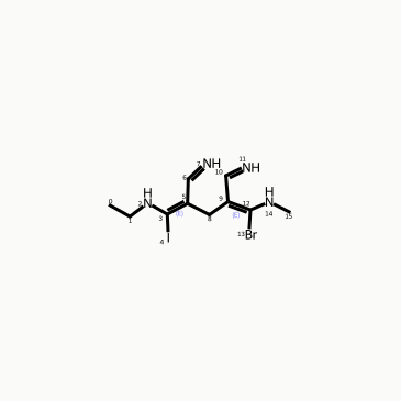 CCN/C(I)=C(\C=N)C/C(C=N)=C(\Br)NC